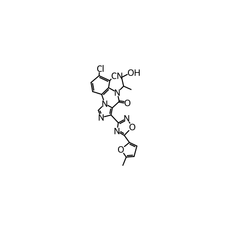 Cc1ccc(-c2nc(-c3ncn4c3c(=O)n(C(C)CO)c3c(C#N)c(Cl)ccc34)no2)o1